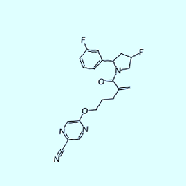 C=C(CCCOc1cnc(C#N)cn1)C(=O)N1CC(F)CC1c1cccc(F)c1